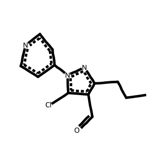 CCCc1nn(-c2ccncc2)c(Cl)c1C=O